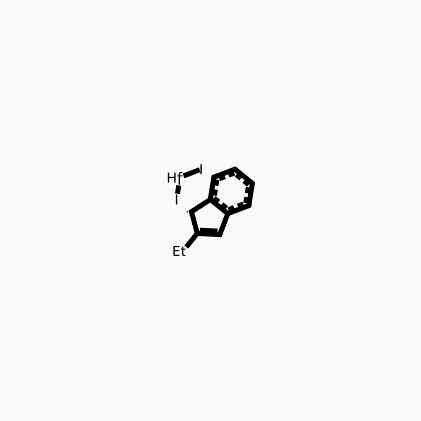 CCC1=Cc2ccccc2[CH]1.[I][Hf][I]